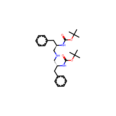 CC(C)(C)OC(=O)N[C@@H](CNC[C@@H](Cc1ccccc1)NC(=O)OC(C)(C)C)Cc1ccccc1